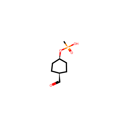 CP(=O)(O)O[C@H]1CC[C@@H](C=O)CC1